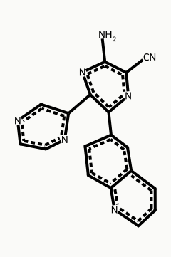 N#Cc1nc(-c2ccc3ncccc3c2)c(-c2cnccn2)nc1N